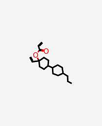 C=CC(=O)OC1(C=C)CCC(C2CCC(CCC)CC2)CC1